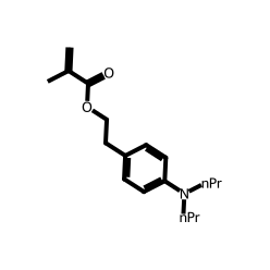 C=C(C)C(=O)OCCc1ccc(N(CCC)CCC)cc1